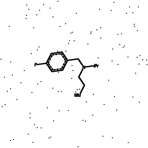 CC(C)N(CCC(C)(C)C)Cc1ccc(F)cc1